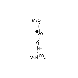 CN[C@@H](CCC(=O)NCCOCCOCC(=O)NCCOCCOC)C(=O)O